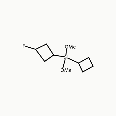 CO[Si](OC)(C1CCC1)C1CC(F)C1